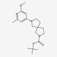 COc1cc(N2CCC3(CCN(C(=O)OC(C)(C)C)C3)C2)cc(C)n1